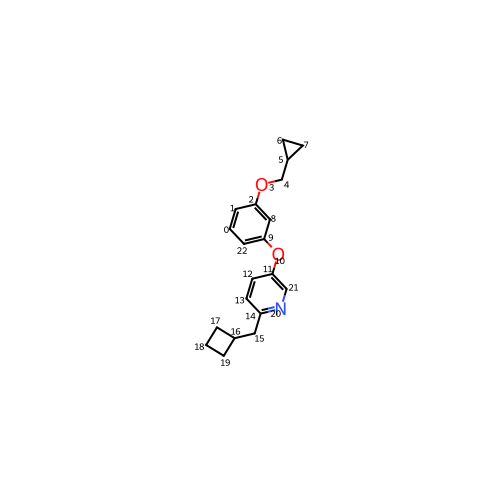 c1cc(OCC2CC2)cc(Oc2ccc(CC3CCC3)nc2)c1